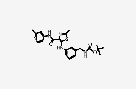 Cc1cc(NC(=O)c2nc(C)sc2Nc2cccc(CNC(=O)OC(C)(C)C)c2)ccn1